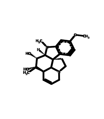 CC[C@@]12C=CCN3CC[C@]4(c5c#cc(OC)cc5N(C)[C@@H]4[C@@H](O)[C@H]1O)C32